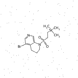 C[Si](C)(C)CCS(=O)(=O)N1CCCc2c(Br)cncc21